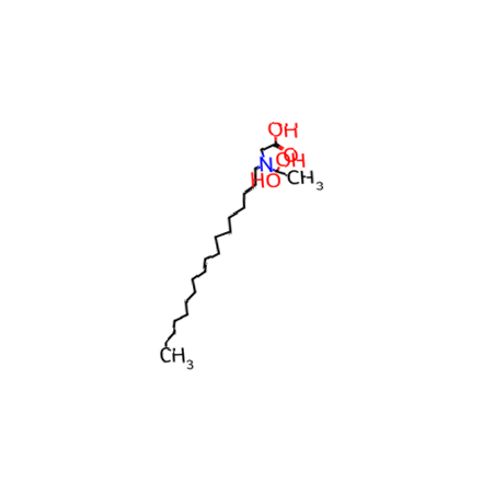 CCCCCCCCCCCCCCCCCCN(CC(=O)O)C(C)(O)O